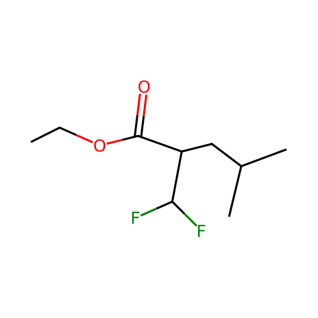 CCOC(=O)C(CC(C)C)C(F)F